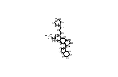 C=CC(=O)Nc1cc2c(N3CCC4CCCCC43)ncnc2cc1OCCCN1CCOCC1